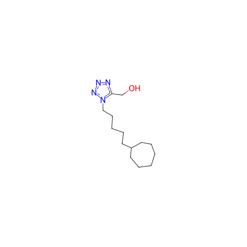 OCc1nnnn1CCCCCC1CCCCCC1